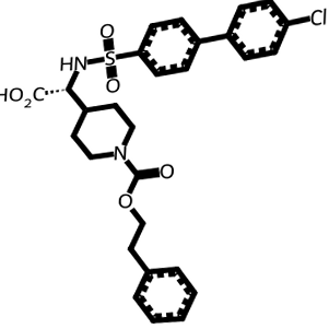 O=C(O)[C@H](NS(=O)(=O)c1ccc(-c2ccc(Cl)cc2)cc1)C1CCN(C(=O)OCCc2ccccc2)CC1